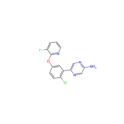 Nc1cnc(-c2cc(Oc3ncccc3F)ccc2Cl)cn1